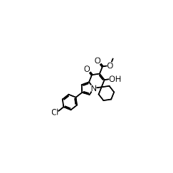 COC(=O)C1=C(O)C2(CCCCC2)n2cc(-c3ccc(Cl)cc3)cc2C1=O